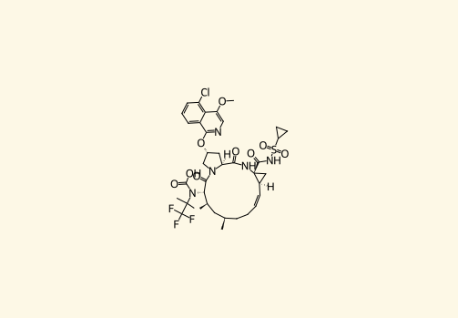 COc1cnc(O[C@@H]2C[C@H]3C(=O)N[C@]4(C(=O)NS(=O)(=O)C5CC5)C[C@H]4C=CCC[C@@H](C)C[C@@H](C)[C@H](N(C(=O)O)C(C)(C)C(F)(F)F)C(=O)N3C2)c2cccc(Cl)c12